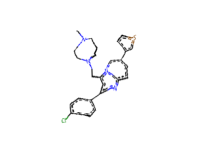 CN1CCCN(Cc2c(-c3ccc(Cl)cc3)nc3ccc(-c4ccsc4)cn23)CC1